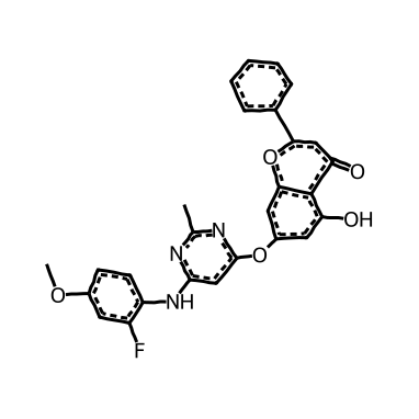 COc1ccc(Nc2cc(Oc3cc(O)c4c(=O)cc(-c5ccccc5)oc4c3)nc(C)n2)c(F)c1